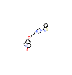 O=C1CCc2cc(OCCCCN3CCN(c4nsc5ccccc45)CC3)cc3c2N1CC3